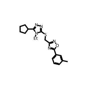 CCn1c(SCc2noc(-c3cccc(C)c3)n2)nnc1C1CCCC1